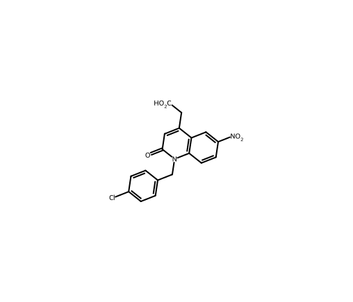 O=C(O)Cc1cc(=O)n(Cc2ccc(Cl)cc2)c2ccc([N+](=O)[O-])cc12